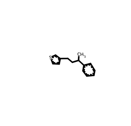 CC(CCc1ccsc1)c1ccccc1